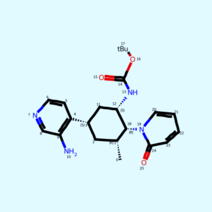 C[C@@H]1C[C@H](c2ccncc2N)C[C@H](NC(=O)OC(C)(C)C)[C@@H]1n1ccccc1=O